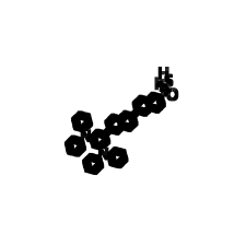 O=P(c1ccc2cc(-c3ccc4cc(-c5cc(N(c6ccccc6)c6ccccc6)cc(N(c6ccccc6)c6ccccc6)c5)ccc4c3)ccc2c1)=[SH](=S)I